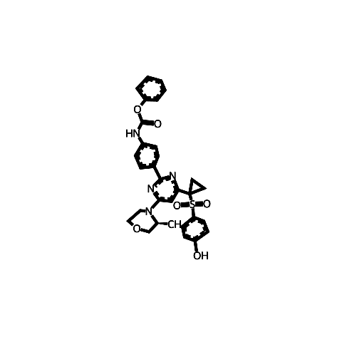 C[C@H]1COCCN1c1cc(C2(S(=O)(=O)c3ccc(O)cc3)CC2)nc(-c2ccc(NC(=O)Oc3ccccc3)cc2)n1